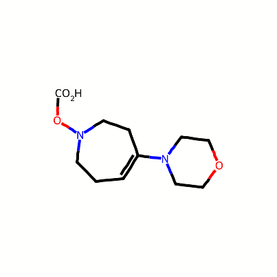 O=C(O)ON1CCC=C(N2CCOCC2)CC1